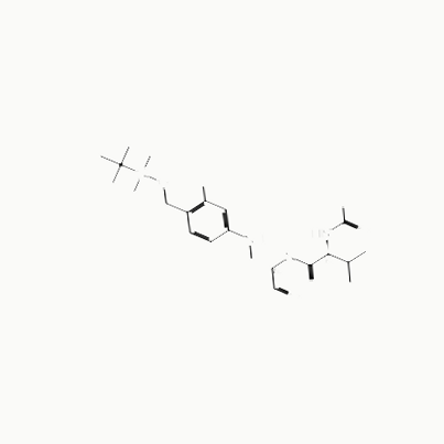 CC(C)[C@H](NC(=O)O)C(=O)N[C@H](C=O)CNc1ccc(CO[Si](C)(C)C(C)(C)C)c(I)c1